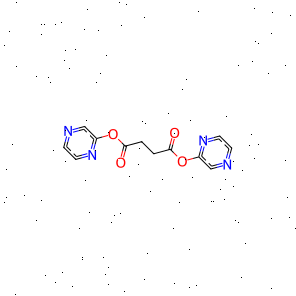 O=C(CCC(=O)Oc1cnccn1)Oc1cnccn1